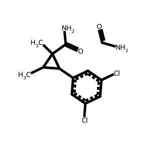 CC1C(c2cc(Cl)cc(Cl)c2)C1(C)C(N)=O.NC=O